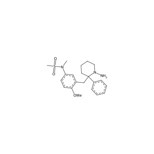 COc1ccc(N(C)S(C)(=O)=O)cc1CC1(c2ccccc2)CCCCN1N